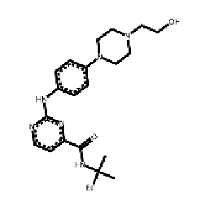 CCC(C)(C)NC(=O)c1ccnc(Nc2ccc(N3CCN(CCO)CC3)cc2)n1